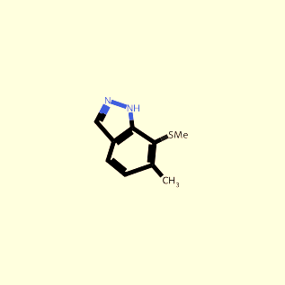 CSc1c(C)ccc2cn[nH]c12